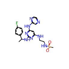 CC(Nc1nc(NCCNS(C)(=O)=O)cc(Nc2cnccn2)n1)c1ccc(F)cc1